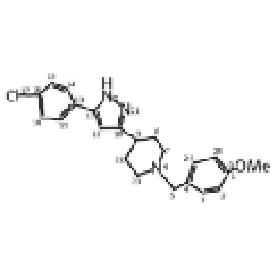 COc1ccc(CN2CCC(c3cc(-c4ccc(Cl)cc4)[nH]n3)CC2)cc1